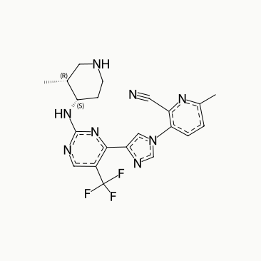 Cc1ccc(-n2cnc(-c3nc(N[C@H]4CCNC[C@H]4C)ncc3C(F)(F)F)c2)c(C#N)n1